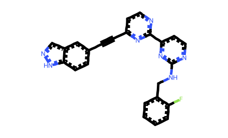 Fc1ccccc1CNc1nccc(-c2nccc(C#Cc3ccc4[nH]ncc4c3)n2)n1